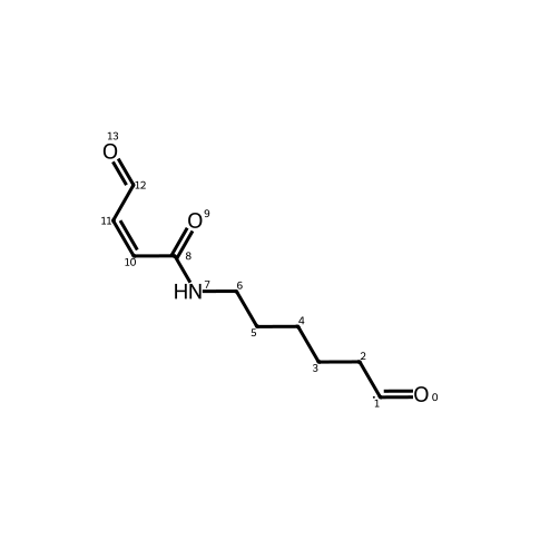 O=[C]CCCCCNC(=O)/C=C\C=O